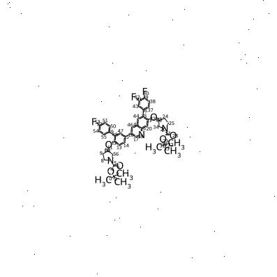 CC(C)(C)OC(=O)N1CC[C@H](Oc2ccc(-c3cnc4cc(O[C@H]5CCN(C(=O)OC(C)(C)C)C5)c(-c5ccc(F)c(F)c5)cc4c3)cc2-c2ccc(F)cc2)C1